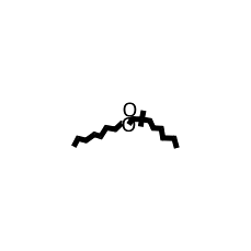 CCCCCCCCOC(=O)C(C)(C)CCCCCC